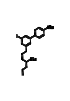 C=C/C=C(\C=C/Cc1cc(I)cc(-c2ccc(C(C)(C)C)cc2)c1)C(C)(C)C